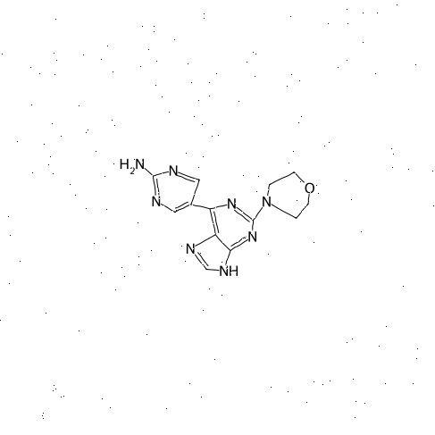 Nc1ncc(-c2nc(N3CCOCC3)nc3[nH]cnc23)cn1